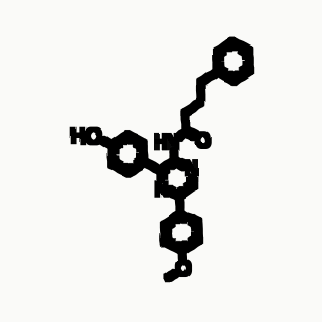 COc1ccc(-c2cnc(NC(=O)CCCc3ccccc3)c(-c3ccc(O)cc3)n2)cc1